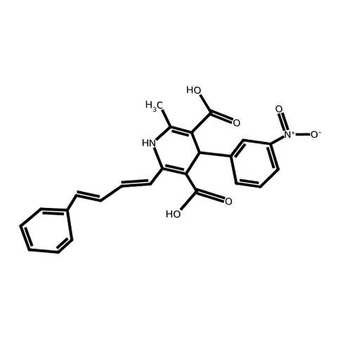 CC1=C(C(=O)O)C(c2cccc([N+](=O)[O-])c2)C(C(=O)O)=C(C=CC=Cc2ccccc2)N1